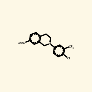 COc1ccc2c(c1)CN(c1ccc(Cl)c(C(F)(F)F)c1)CC2